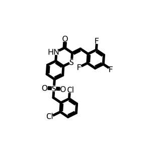 O=C1Nc2ccc(S(=O)(=O)Cc3c(Cl)cccc3Cl)cc2SC1=Cc1c(F)cc(F)cc1F